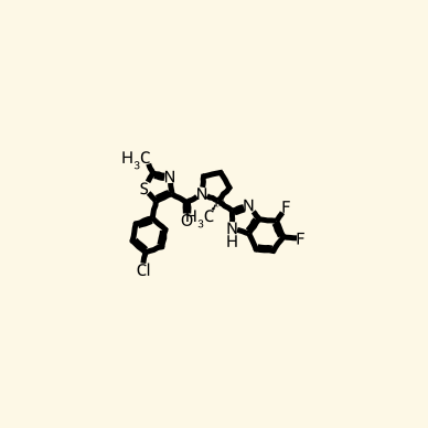 Cc1nc(C(=O)N2CCC[C@@]2(C)c2nc3c(F)c(F)ccc3[nH]2)c(-c2ccc(Cl)cc2)s1